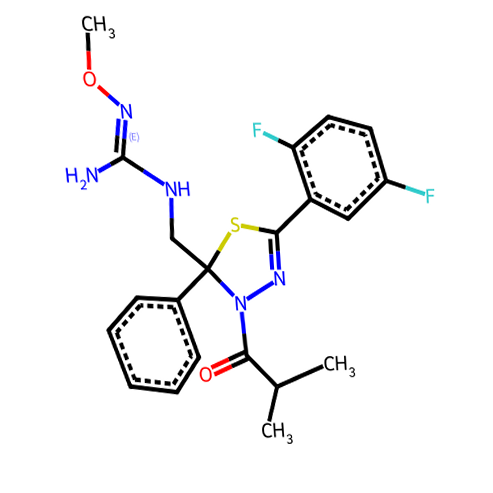 CO/N=C(\N)NCC1(c2ccccc2)SC(c2cc(F)ccc2F)=NN1C(=O)C(C)C